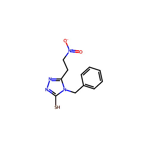 O=[N+]([O-])CCc1nnc(S)n1Cc1ccccc1